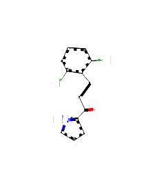 O=C(C=Cc1c(Cl)cccc1Cl)c1ccc[nH]1